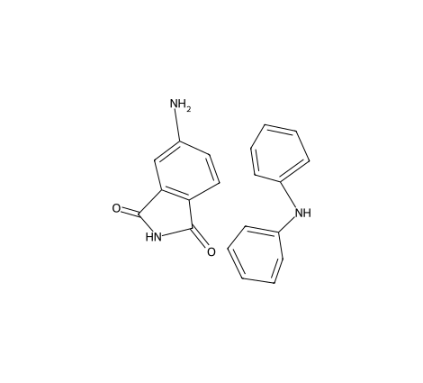 Nc1ccc2c(c1)C(=O)NC2=O.c1ccc(Nc2ccccc2)cc1